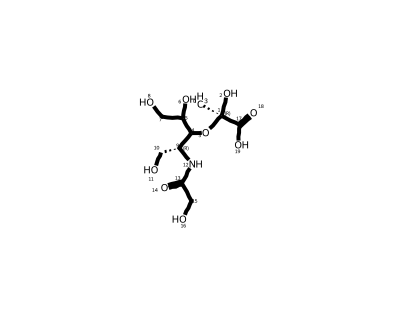 C[C@@](O)(OC(C(O)CO)[C@@H](CO)NC(=O)CO)C(=O)O